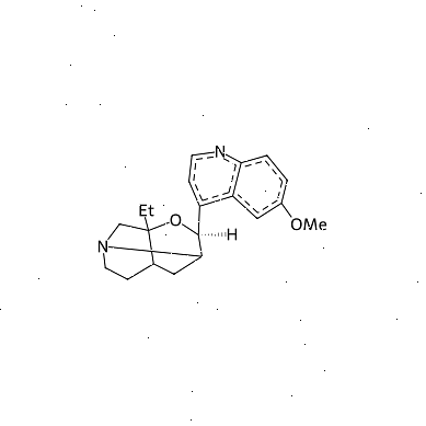 CCC12CN3CCC1CC3[C@H](c1ccnc3ccc(OC)cc13)O2